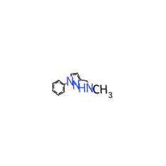 CNCc1ccn(-c2ccccc2)n1